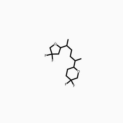 CC(CCC(C)C1CC(F)(F)CO1)C1CCC(F)(F)CO1